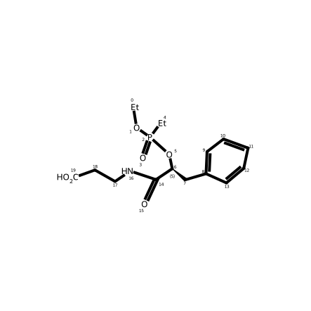 CCOP(=O)(CC)O[C@@H](Cc1ccccc1)C(=O)NCCC(=O)O